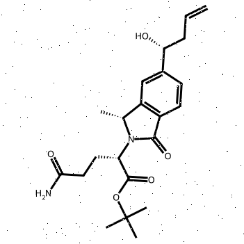 C=CC[C@@H](O)c1ccc2c(c1)[C@@H](C)N([C@@H](CCC(N)=O)C(=O)OC(C)(C)C)C2=O